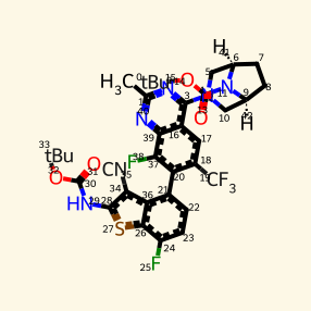 Cc1nc(N2C[C@H]3CC[C@@H](C2)N3C(=O)OC(C)(C)C)c2cc(C(F)(F)F)c(-c3ccc(F)c4sc(NC(=O)OC(C)(C)C)c(C#N)c34)c(F)c2n1